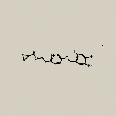 O=C(OCCc1ccc(OCc2cc(Br)c(F)cc2F)cn1)C1CC1